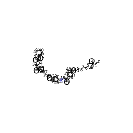 C=CC(=O)OCCCCCCOc1ccc(C(=O)/C=C/c2ccc(OCCCCOC(=O)C(=C)CC(=O)OC3CCCCC3)cc2)cc1C